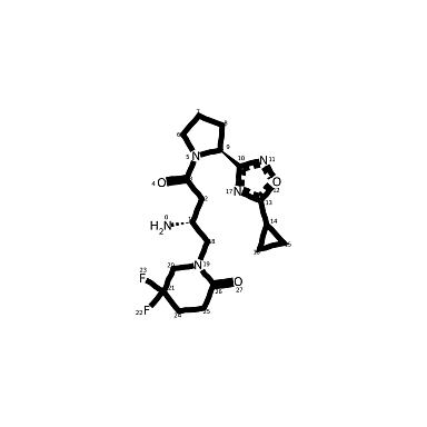 N[C@H](CC(=O)N1CCC[C@H]1c1noc(C2CC2)n1)CN1CC(F)(F)CCC1=O